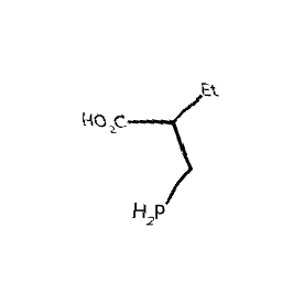 CCC(CP)C(=O)O